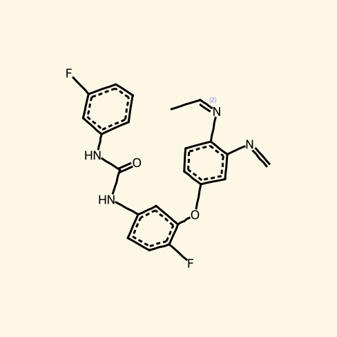 C=Nc1cc(Oc2cc(NC(=O)Nc3cccc(F)c3)ccc2F)ccc1/N=C\C